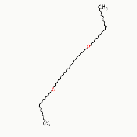 CCCCCCCC/C=C\CCCCCCCCOCCCCCCCCCCCCCCCCCCCCCCOCCCCCCCC/C=C\CCCCCCCC